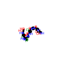 Cn1c(-c2c(C(F)(F)F)n[nH]c2-c2ccc(NC[C@H](O)CO)cc2F)cnc1C(=O)Nc1ccc(C(=O)N2CCN(C(=O)C3CC[N+](CC(=O)O)(CC4CNC4)CC3)CC2)c(Cl)c1